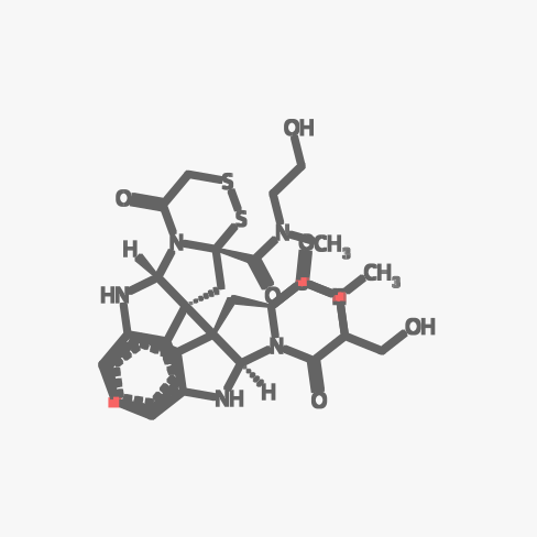 CN(CCO)C(=O)[C@@]12C[C@]3([C@]45C[C@@]67SSC(CO)(C(=O)N6[C@H]4Nc4ccccc45)N(C)C7=O)c4ccccc4N[C@@H]3N1C(=O)CSS2